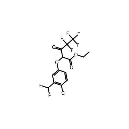 CCOC(=O)C(Oc1ccc(Cl)c(C(F)F)c1)C(=O)C(F)(F)C(F)(F)F